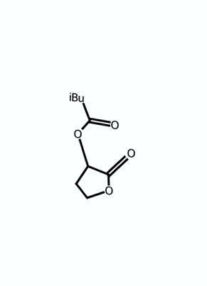 CCC(C)C(=O)OC1CCOC1=O